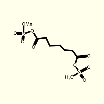 COS(=O)(=O)OC(=O)CCCCCC(=O)OS(C)(=O)=O